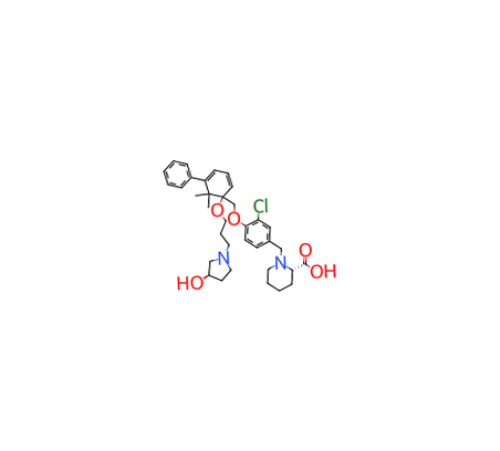 CC1(C)C(c2ccccc2)=CC=CC1(COc1ccc(CN2CCCC[C@H]2C(=O)O)cc1Cl)OCCCN1CC[C@@H](O)C1